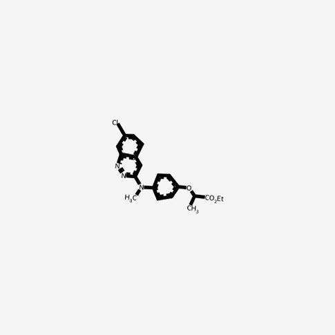 CCOC(=O)C(C)Oc1ccc(N(C)c2cc3ccc(Cl)cc3nn2)cc1